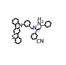 N#Cc1cccc(C(=C/C(N)c2ccccc2)/N=C/c2cccc(-n3c4ccccc4c4cc5sc6ccccc6c5cc43)c2)c1